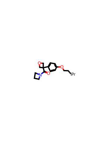 CC(C)CCOc1ccc(C2(C(=O)N3CCC3)COC2)cc1